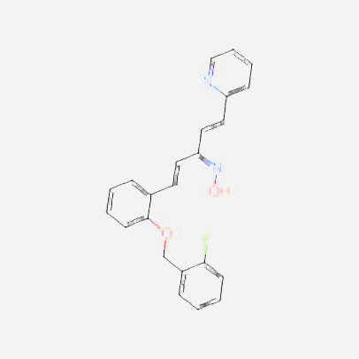 ON=C(C=Cc1ccccn1)C=Cc1ccccc1OCc1ccccc1F